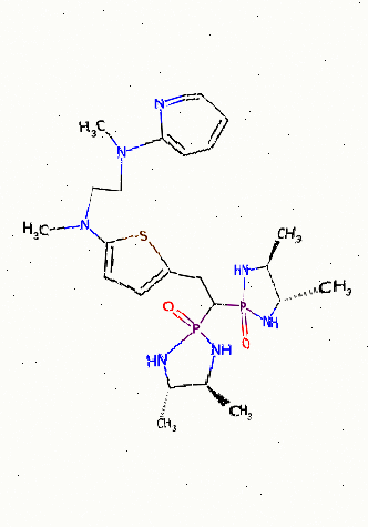 C[C@@H]1NP(=O)(C(Cc2ccc(N(C)CCN(C)c3ccccn3)s2)P2(=O)N[C@@H](C)[C@H](C)N2)N[C@H]1C